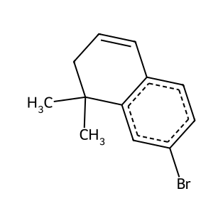 CC1(C)CC=Cc2ccc(Br)cc21